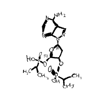 CC(C)P(=O)(O)OC1C[C@H](n2ncc3c(N)ncnc32)O[C@@H]1OP(=O)(O)C(C)C